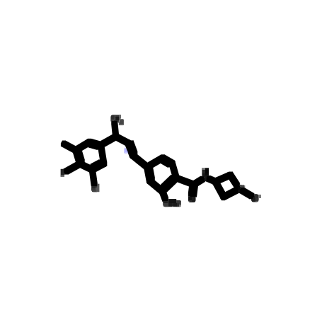 COc1cc(/C=C/C(c2cc(C)c(F)c(Cl)c2)C(F)(F)F)ccc1C(=O)NC1C[S+]([O-])C1